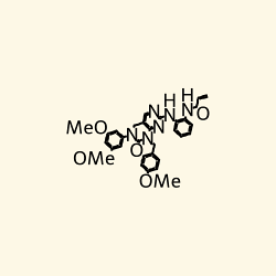 C=CC(=O)Nc1ccccc1Nc1ncc2c(n1)N(Cc1ccc(OC)cc1)C(=O)N(c1cc(OC)cc(OC)c1)C2